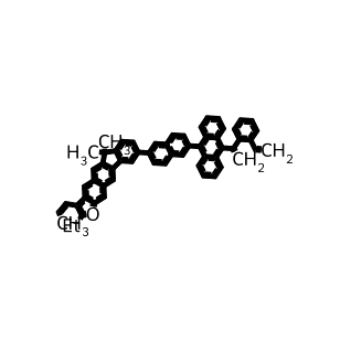 C=Cc1ccccc1C(=C)c1c2ccccc2c(-c2ccc3cc(-c4ccc5c(c4)-c4cc6cc7oc(CC)c(/C=C\C)c7cc6cc4C5(C)C)ccc3c2)c2ccccc12